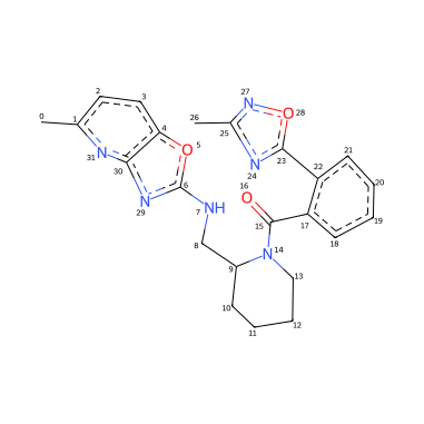 Cc1ccc2oc(NCC3CCCCN3C(=O)c3ccccc3-c3nc(C)no3)nc2n1